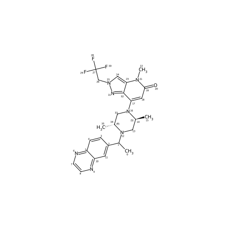 CC(c1ccc2nccnc2c1)N1C[C@H](C)N(c2cc(=O)n(C)c3cn(CC(F)(F)F)nc23)C[C@H]1C